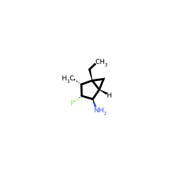 CC[C@@]12C[C@@H]1[C@@H](N)[C@H](F)[C@@H]2C